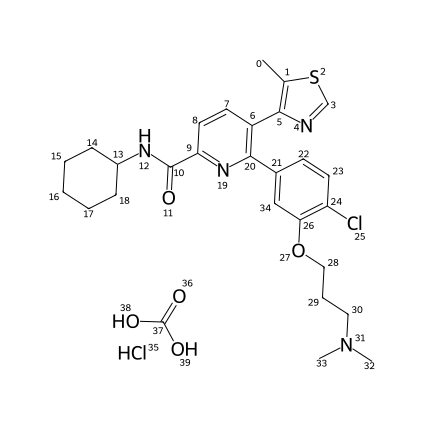 Cc1scnc1-c1ccc(C(=O)NC2CCCCC2)nc1-c1ccc(Cl)c(OCCCN(C)C)c1.Cl.O=C(O)O